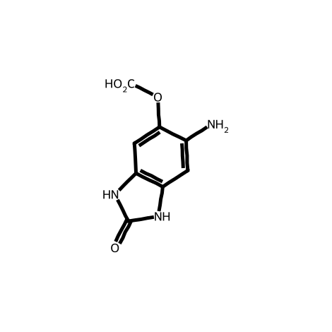 Nc1cc2[nH]c(=O)[nH]c2cc1OC(=O)O